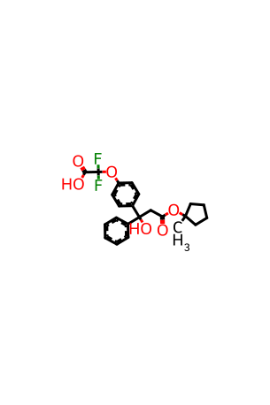 CC1(OC(=O)CC(O)(c2ccccc2)c2ccc(OC(F)(F)C(=O)O)cc2)CCCC1